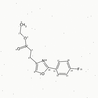 CCOC(=O)CCc1coc(-c2ccc(F)cc2)n1